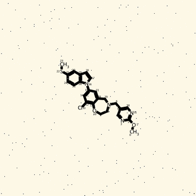 COc1ncc(CN2CCOc3c(Cl)cc(-n4ccc5cc(SC)ccc54)cc3C2)cn1